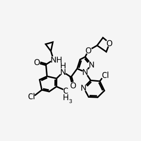 Cc1cc(Cl)cc(C(=O)NC2CC2)c1NC(=O)c1cc(OC2COC2)nn1-c1ncccc1Cl